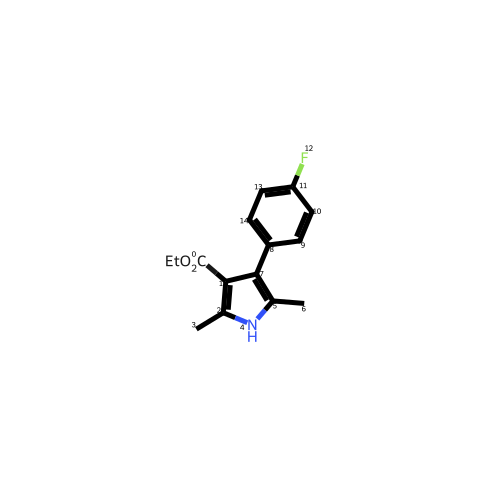 CCOC(=O)c1c(C)[nH]c(C)c1-c1ccc(F)cc1